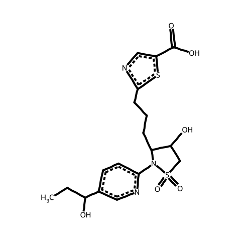 CCC(O)c1ccc(N2C(CCCc3ncc(C(=O)O)s3)C(O)CS2(=O)=O)nc1